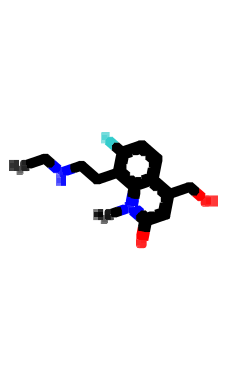 CCNCCc1c(F)ccc2c(CO)cc(=O)n(C)c12